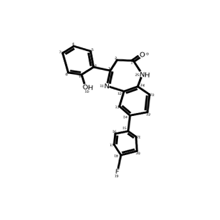 O=C1CC(c2ccccc2O)=Nc2cc(-c3ccc(F)cc3)ccc2N1